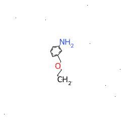 C=CCOCc1cccc(N)c1